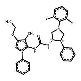 CCOc1nn(-c2ccccc2)c(NC(=O)N[C@@H]2CN(c3c(F)cccc3F)C[C@H]2c2ccccc2)c1C